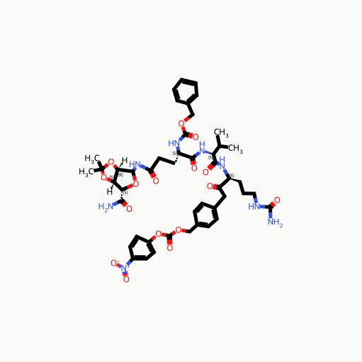 CC(C)[C@H](NC(=O)[C@H](CCC(=O)NC1O[C@H](C(N)=O)[C@H]2OC(C)(C)O[C@@H]12)NC(=O)OCc1ccccc1)C(=O)N[C@@H](CCCNC(N)=O)C(=O)Cc1ccc(COC(=O)Oc2ccc([N+](=O)[O-])cc2)cc1